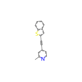 Cc1cc(C#Cc2cc3ccccc3s2)ccn1